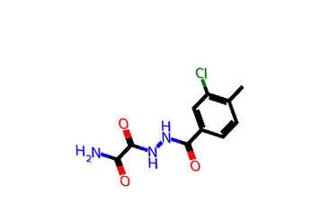 Cc1ccc(C(=O)NNC(=O)C(N)=O)cc1Cl